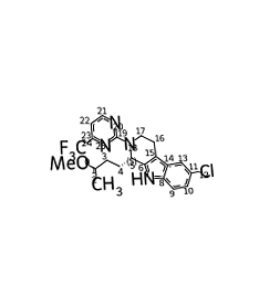 COC(C)CC[C@H]1c2[nH]c3ccc(Cl)cc3c2CCN1c1nccc(C(F)(F)F)n1